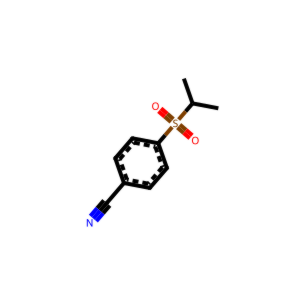 CC(C)S(=O)(=O)c1ccc(C#N)cc1